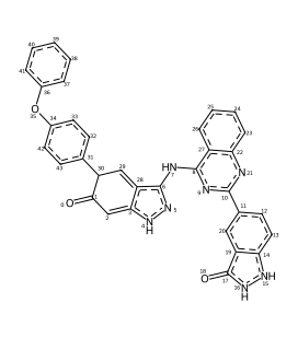 O=C1C=c2[nH]nc(Nc3nc(-c4ccc5[nH][nH]c(=O)c5c4)nc4ccccc34)c2=CC1c1ccc(Oc2ccccc2)cc1